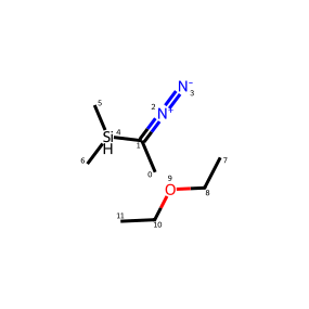 CC(=[N+]=[N-])[SiH](C)C.CCOCC